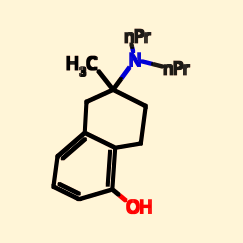 CCCN(CCC)C1(C)CCc2c(O)cccc2C1